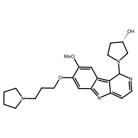 COc1cc2c(cc1OCCCN1CCCC1)=NC1=CC=NC(N3CC[C@H](O)C3)C=21